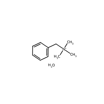 C[N+](C)(C)Cc1ccccc1.O